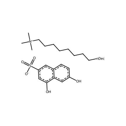 CCCCCCCCCCCCCCCCCC[N+](C)(C)C.O=S(=O)([O-])c1cc(O)c2cc(O)ccc2c1